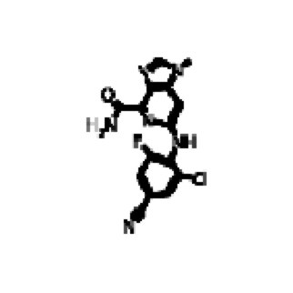 Cn1cnc2c(C(N)=O)nc(Nc3c(F)cc(C#N)cc3Cl)cc21